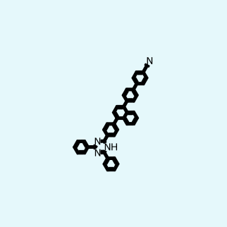 N#Cc1ccc(-c2ccc(-c3ccc(-c4ccc(C5N=C(c6ccccc6)N=C(c6ccccc6)N5)cc4)c4ccccc34)cc2)cc1